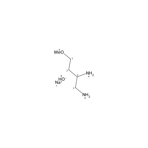 COCCC(N)CN.[Na+].[OH-]